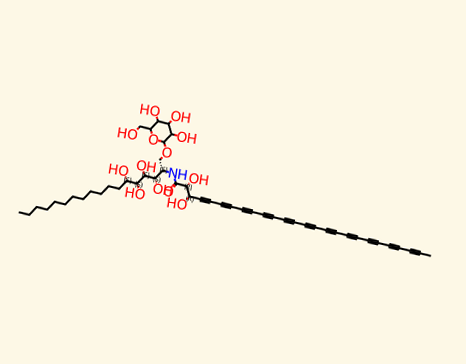 CC#CC#CC#CC#CC#CC#CC#CC#CC#CC#CC#C[C@@H](O)[C@@H](O)C(=O)N[C@@H](COC1OC(CO)C(O)C(O)C1O)[C@H](O)[C@H](O)[C@@H](O)[C@@H](O)CCCCCCCCCCCC